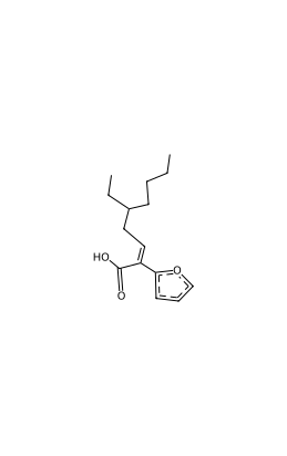 CCCCC(CC)CC=C(C(=O)O)c1ccco1